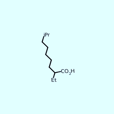 CCC(CCCCCC(C)C)C(=O)O